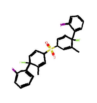 CC1=CC(S(=O)(=O)C2C=CC(F)(c3ccccc3I)C(C)=C2)C=CC1(F)c1ccccc1I